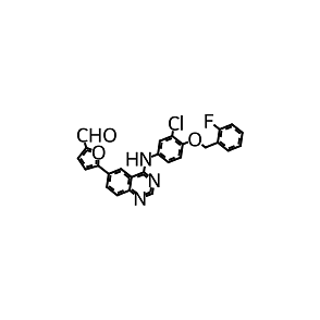 O=Cc1ccc(-c2ccc3ncnc(Nc4ccc(OCc5ccccc5F)c(Cl)c4)c3c2)o1